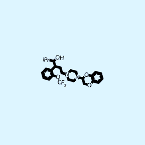 CC(C)C(O)C(CCN1CCN(C2COc3ccccc3O2)CC1)c1ccccc1OC(F)(F)F